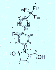 O=C1CCC(CO)N1c1ccc(-c2noc(C(F)(F)F)n2)c(F)c1